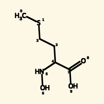 CSCCC(NO)C(=O)O